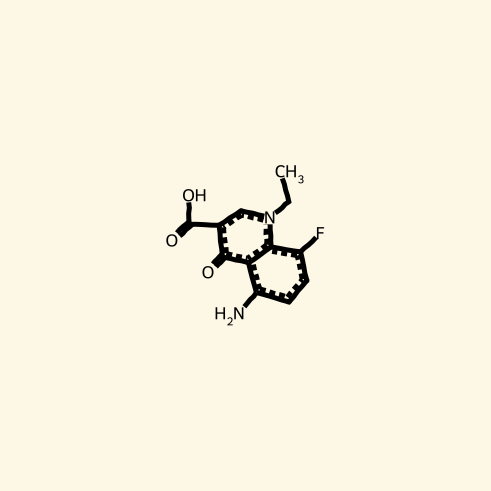 CCn1cc(C(=O)O)c(=O)c2c(N)ccc(F)c21